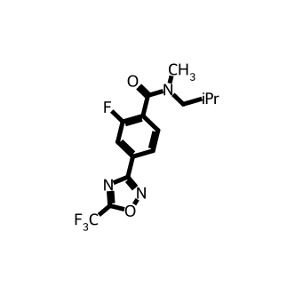 CC(C)CN(C)C(=O)c1ccc(-c2noc(C(F)(F)F)n2)cc1F